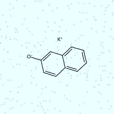 [K+].[O-]c1ccc2ccccc2c1